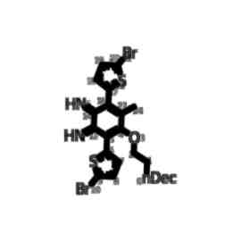 CCCCCCCCCCCCOC1=C(c2ccc(Br)s2)C(=N)C(=N)C(c2ccc(Br)s2)=C1C